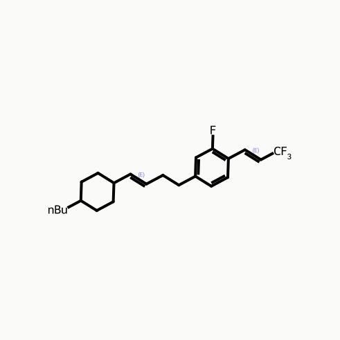 CCCCC1CCC(/C=C/CCc2ccc(/C=C/C(F)(F)F)c(F)c2)CC1